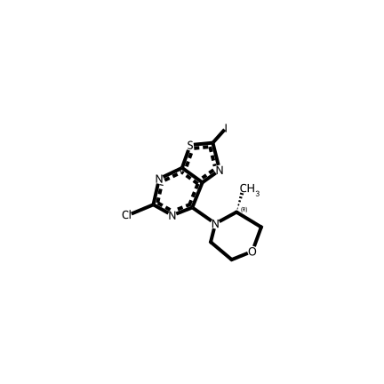 C[C@@H]1COCCN1c1nc(Cl)nc2sc(I)nc12